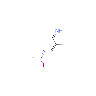 C/C(C=N)=C/N=C(/C)I